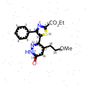 CCOC(=O)c1nc(-c2ccccc2)c(-c2n[nH]c(=O)cc2CCOC)s1